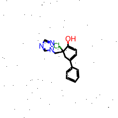 OC1=CC=C(c2ccccc2)CC1(Cl)Cn1cncn1